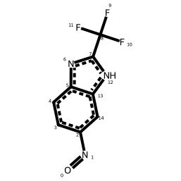 O=Nc1ccc2nc(C(F)(F)F)[nH]c2c1